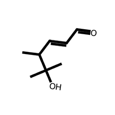 CC(/C=C/C=O)C(C)(C)O